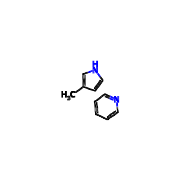 Cc1cc[nH]c1.c1ccncc1